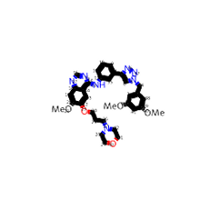 COc1cc(Cn2cc(-c3cccc(Nc4ncnc5cc(OC)c(OCCCN6CCOCC6)cc45)c3)nn2)cc(OC)c1